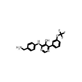 NCc1ccc(Nc2ncnc(-c3cccc(OC(F)(F)F)c3)c2O)cc1